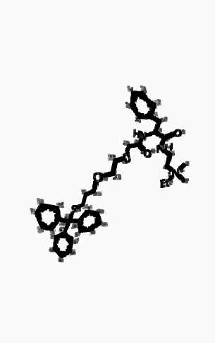 CC[N+](C)(C)CCNC(=O)C(Cc1ccccc1)NC(=O)COCCOCCCSC(c1ccccc1)(c1ccccc1)c1ccccc1